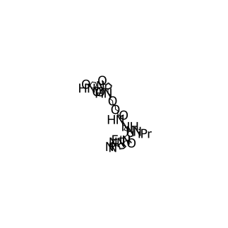 CCn1cnnc1-c1cccc(N2Cc3c(cc(N(C)C(C)C)nc3CNCCNC(=O)CCOCCOCCNc3cccc4c3C(=O)N(C3CCC(=O)NC3=O)C4=O)C2=O)n1